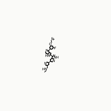 CCNCc1cncc(-c2cnc3[nH]nc(-c4cc5c(-c6cc(F)cc(OCCN(C)C)c6)nccc5[nH]4)c3c2)c1